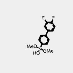 CO[Si](O)(OC)c1ccc(-c2ccc(F)c(F)c2)cc1